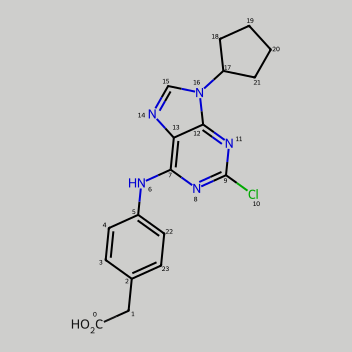 O=C(O)Cc1ccc(Nc2nc(Cl)nc3c2ncn3C2CCCC2)cc1